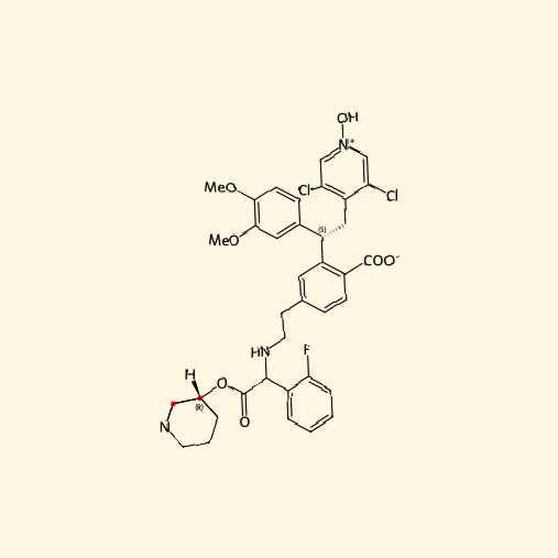 COc1ccc([C@H](Cc2c(Cl)c[n+](O)cc2Cl)c2cc(CCNC(C(=O)O[C@H]3CN4CCC3CC4)c3ccccc3F)ccc2C(=O)[O-])cc1OC